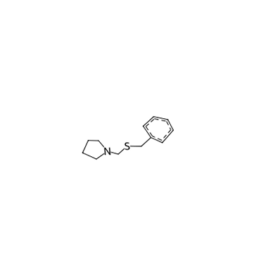 c1ccc(CSCN2CCCC2)cc1